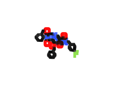 O=C(NCc1ccc(F)cc1)c1cn2c(c(OCc3ccccc3)c1=O)C(=O)N1C(C2)OCC2CCCCC21